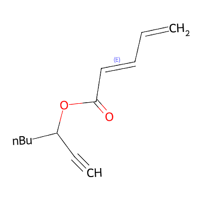 C#CC(CCCC)OC(=O)/C=C/C=C